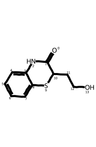 O=C1Nc2ccccc2SC1CCO